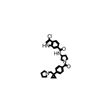 O=C(NC1CCN(C(=O)c2ccc(C3(CN4CCCC4)CC3)cc2)C1)c1ccc2c(Cl)c[nH]c2c1